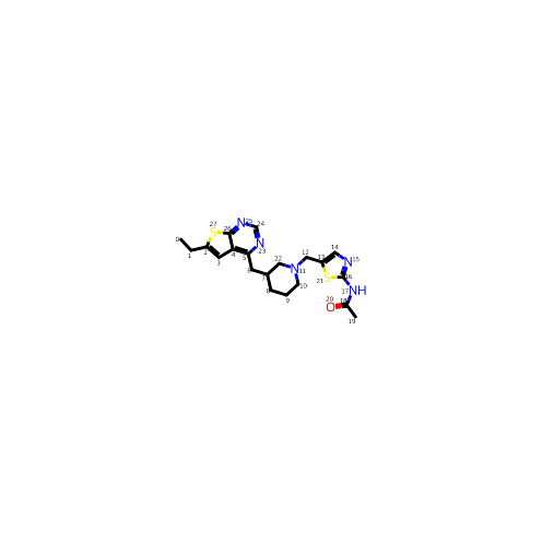 CCc1cc2c(CC3CCCN(Cc4cnc(NC(C)=O)s4)C3)ncnc2s1